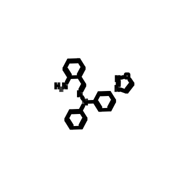 Nc1ccccc1C=NN(c1ccccc1)c1ccccc1.c1conn1